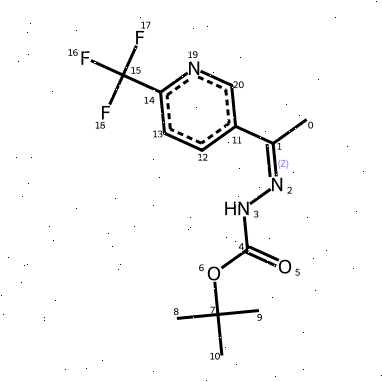 C/C(=N/NC(=O)OC(C)(C)C)c1ccc(C(F)(F)F)nc1